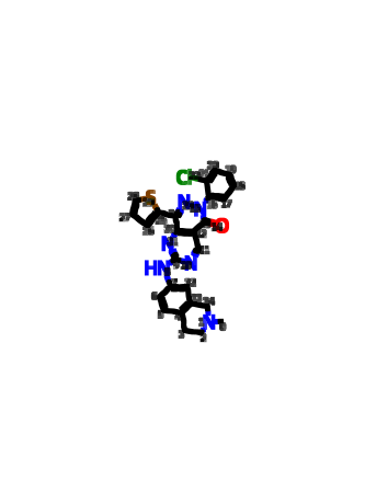 CN1CCc2ccc(Nc3ncc4c(=O)n(-c5ccccc5Cl)nc(-c5cccs5)c4n3)cc2C1